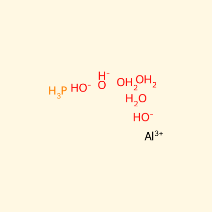 O.O.O.P.[Al+3].[OH-].[OH-].[OH-]